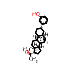 CC(=O)[C@H]1CC[C@H]2[C@@H]3CC[C@@H]4C[C@@H](c5cccc(O)c5)CC[C@]4(C)[C@H]3CC[C@]12C